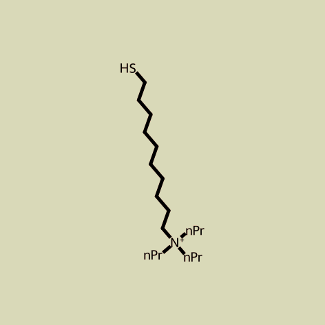 CCC[N+](CCC)(CCC)CCCCCCCCCCS